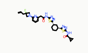 C=CCC1(F)CN(c2cccc(CC(=O)Nc3nnc([C@H]4CCC[C@H](c5nnc(NC(=O)C6CC6)s5)C4)s3)n2)C1